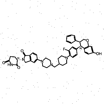 O=C1CC[C@H](N2Cc3cc(N4CCN(CC5CCN(c6ccc([C@@H]7c8ccc(O)cc8OCC7c7ccccc7)cc6F)CC5)CC4)ccc3C2=O)C(=O)N1